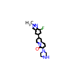 Cn1cc2cc(-c3ccn4c(=O)c(N5CCNCC5)ccc4c3)cc(F)c2n1